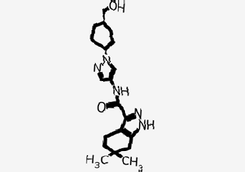 CC1(C)CCc2c(C(=O)Nc3cnn([C@H]4CC[C@H](CO)CC4)c3)n[nH]c2C1